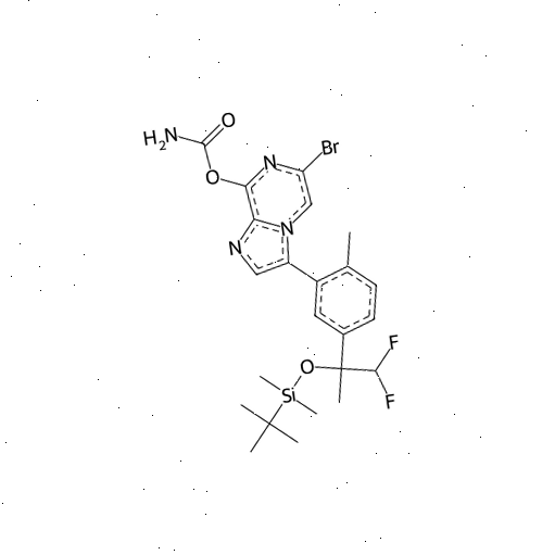 Cc1ccc(C(C)(O[Si](C)(C)C(C)(C)C)C(F)F)cc1-c1cnc2c(OC(N)=O)nc(Br)cn12